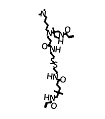 C=CC(=O)NCC(C)(C)CCC(=O)NCCSSCCNC(=O)CCN(CCCCN(C)C)C(C)(CC)CNC(=O)C=C